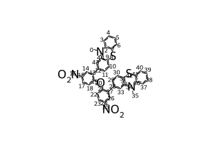 CN1c2ccccc2Sc2ccc(-c3cc([N+](=O)[O-])ccc3Oc3ccc([N+](=O)[O-])cc3-c3ccc4c(c3)N(C)c3ccccc3S4)cc21